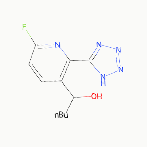 CCCCC(O)c1ccc(F)nc1-c1nnn[nH]1